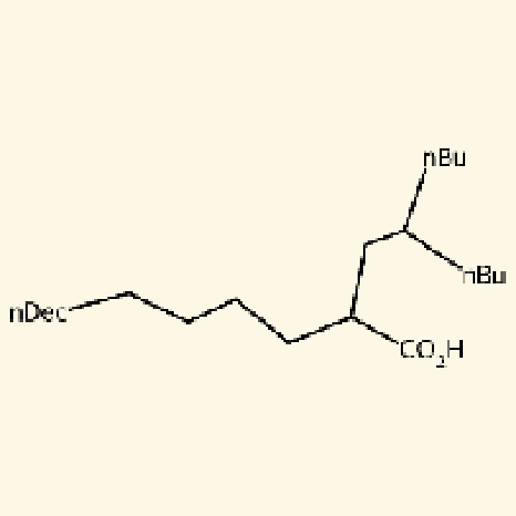 CCCCCCCCCCCCCCC(CC(CCCC)CCCC)C(=O)O